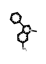 Cn1cc(-c2ccccc2)c2ccc(N)cc21